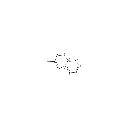 CC1=Cc2cccnc2CC1